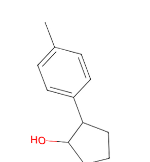 Cc1ccc(C2CCCC2O)cc1